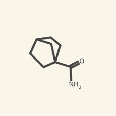 NC(=O)C12CCC(CC1)C2